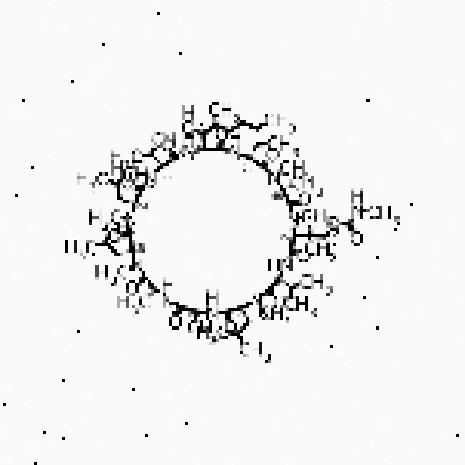 CCCC[C@@H](C)[C@@H](O)[C@@H]1NC(=O)[C@H](C(C)C)N(C)C(=O)[C@H](CC(C)C)N(C)C(=O)[C@H](CC(C)C)N(C)C(=O)[C@@H](C)NC(=O)[C@H](C)NC(=O)[C@H](CC(C)C)N(C)C(=O)[C@H](C(C)C)NC(=O)[C@H](C(C)(C)COC(=O)NC)N(C)C(=O)[C@@H](C)N(C)C(=O)[C@H](CC)NC1=O